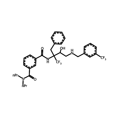 CCCN(CCC)C(=O)c1cccc(C(=O)NC(Cc2ccccc2)(C(O)CNCc2cccc(C(F)(F)F)c2)C(F)(F)F)c1